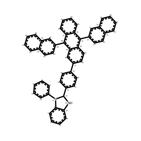 c1ccc(N2c3ccccc3NC2c2ccc(-c3ccc4c(-c5ccc6ccccc6c5)c5ccccc5c(-c5ccc6ccccc6c5)c4c3)cc2)cc1